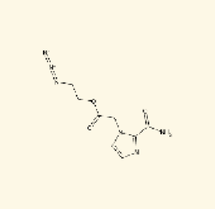 [N-]=[N+]=NCCOC(=O)Cn1ccnc1C(N)=O